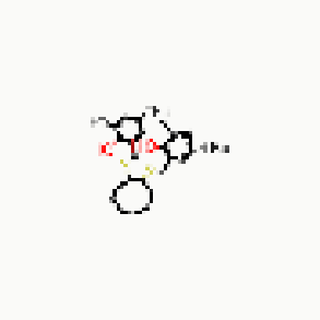 CCc1cc(C(C)(C)C)cc(CSC2CCCCCCC2SCc2cc(C(C)(C)C)cc(C)c2O)c1O